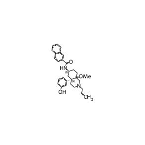 C=CCN1CC[C@@]2(c3cccc(O)c3)C[C@@H](NC(=O)c3ccc4ccccc4c3)CC[C@]2(OC)C1